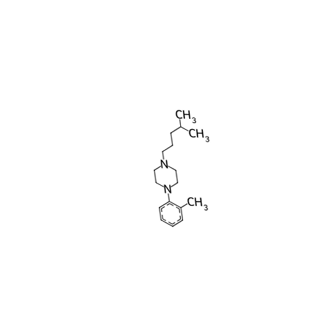 Cc1ccccc1N1CCN(CCCC(C)C)CC1